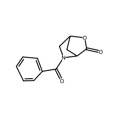 O=C1OC2CC1N(C(=O)c1ccccc1)C2